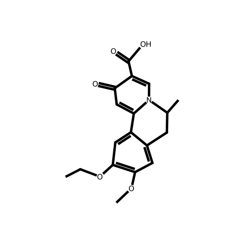 CCOc1cc2c(cc1OC)CC(C)n1cc(C(=O)O)c(=O)cc1-2